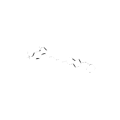 O=c1cc(CN2CCSCC2)occ1OCCCCCSc1ccnc2cc(C(F)(F)F)ccc12